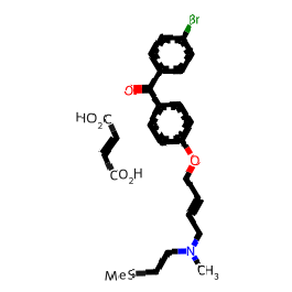 CSCCN(C)CC=CCOc1ccc(C(=O)c2ccc(Br)cc2)cc1.O=C(O)C=CC(=O)O